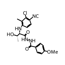 [C-]#[N+]c1ccc(N[C@@H](C(=O)NNC(=O)c2ccc(OC)cc2)[C@H](C)O)c(C)c1Cl